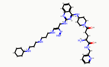 N=N/C(=C\NCCCNCCCNC1CCCCC1)CNc1nc(NC2CCN(C(=O)CCC(N)C(=O)NCc3ccccn3)CC2)c2ccccc2n1